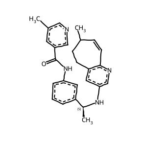 Cc1cncc(C(=O)Nc2cccc([C@H](C)Nc3cnc4c(c3)CCC(C)C=C4)c2)c1